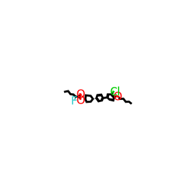 CCCCCOc1ccc(-c2ccc([C@H]3CC[C@H](OC(=O)[C@@H](F)CCCC)CC3)cc2)cc1Cl